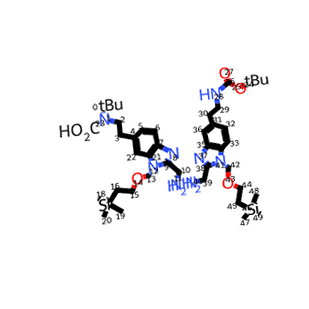 CC(C)(C)N(CCc1ccc2nc(CN)n(COCC[Si](C)(C)C)c2c1)C(=O)O.CC(C)(C)OC(=O)NCCc1ccc2c(c1)nc(CN)n2COCC[Si](C)(C)C